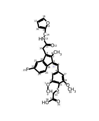 COc1cc(/C=C2/C(C)=C(CC(=O)NCc3ccco3)c3cc(F)ccc32)cc(OC)c1SCC(=O)O